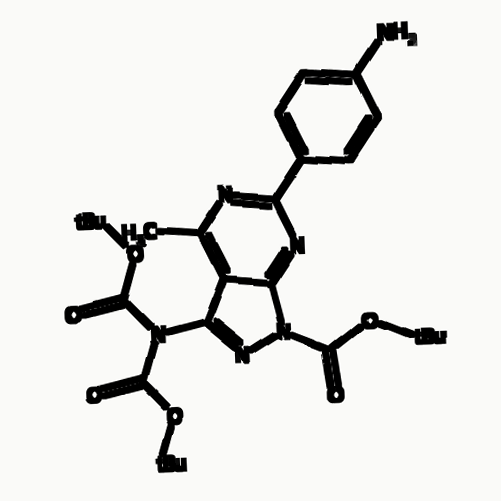 Cc1nc(-c2ccc(N)cc2)nc2c1c(N(C(=O)OC(C)(C)C)C(=O)OC(C)(C)C)nn2C(=O)OC(C)(C)C